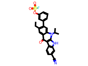 CCc1cc2c(=O)c3c4ccc(C#N)cc4[nH]c3n(C(C)C)c2cc1-c1cccc(OS(=O)(=O)F)c1